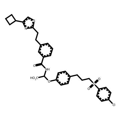 O=C(NC(Oc1ccc(CCCS(=O)(=O)c2ccc(Cl)cc2)cc1)C(=O)O)c1cccc(CCc2nc(C3CCC3)cs2)c1